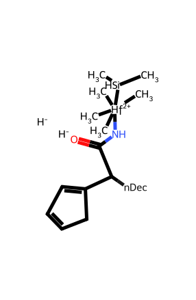 CCCCCCCCCCC(C(=O)[NH][Hf+2]([CH3])([CH3])([CH3])([CH3])[SiH](C)C)C1=CC=CC1.[H-].[H-]